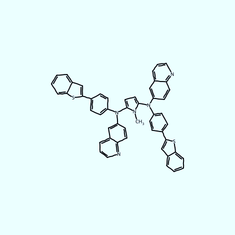 Cn1c(N(c2ccc(-c3cc4ccccc4s3)cc2)c2ccc3ncccc3c2)ccc1N(c1ccc(-c2cc3ccccc3s2)cc1)c1ccc2ncccc2c1